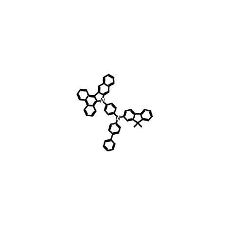 CC1(C)c2ccccc2-c2ccc(N(c3ccc(-c4ccccc4)cc3)c3ccc(-n4c5cc6ccccc6cc5c5c6ccccc6c6ccccc6c54)cc3)cc21